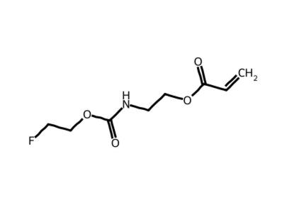 C=CC(=O)OCCNC(=O)OCCF